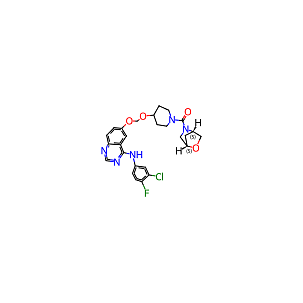 O=C(N1CCC(OCOc2ccc3ncnc(Nc4ccc(F)c(Cl)c4)c3c2)CC1)N1C[C@@H]2C[C@H]1CO2